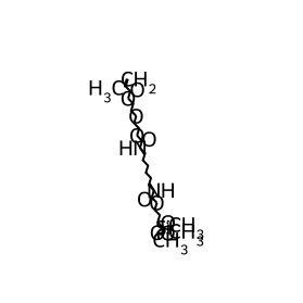 C=C(C)C(=O)OCCOCCOC(=O)NCCCCCCNC(=O)OCCC[Si](OC)(OC)OC